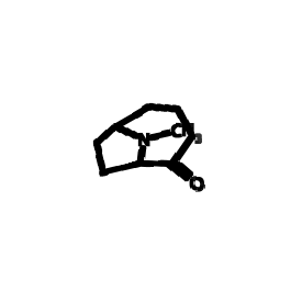 CN1C2CCCC(=O)C1CC2